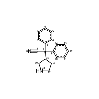 N#CC(c1ccccc1)(c1ccccc1)[C@H]1CCNC1